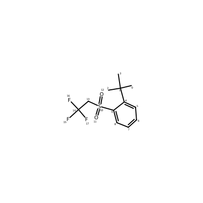 CC(C)(C)c1ccccc1S(=O)(=O)CC(F)(F)F